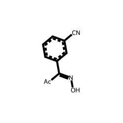 CC(=O)C(=NO)c1cccc(C#N)c1